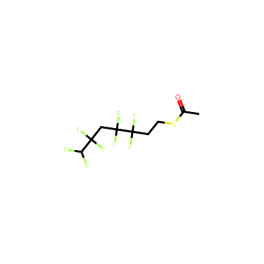 CC(=O)SCCC(F)(F)C(F)(F)CC(F)(F)C(F)F